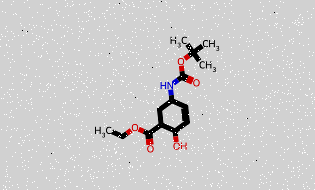 CCOC(=O)C1CC(NC(=O)OC(C)(C)C)C=CC1O